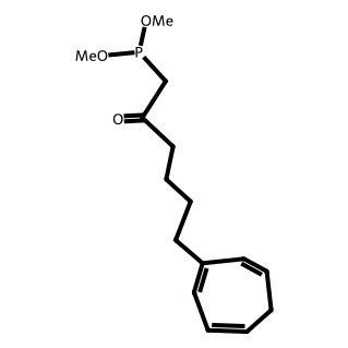 COP(CC(=O)CCCCC1=CC=CCC=C1)OC